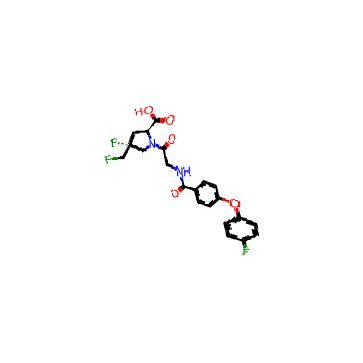 O=C(NCC(=O)N1C[C@@](F)(CF)C[C@H]1C(=O)O)c1ccc(Oc2ccc(F)cc2)cc1